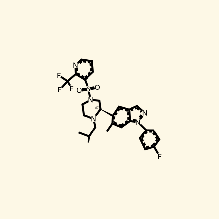 Cc1cc2c(cnn2-c2ccc(F)cc2)cc1[C@@H]1CN(S(=O)(=O)c2cccnc2C(F)(F)F)CCN1CC(C)C